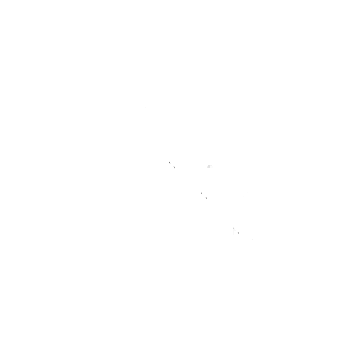 CN(C[C@@H]1COC(N)=N1)c1ccc(Cl)c(Cl)c1